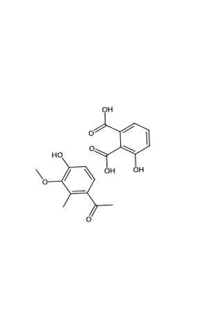 COc1c(O)ccc(C(C)=O)c1C.O=C(O)c1cccc(O)c1C(=O)O